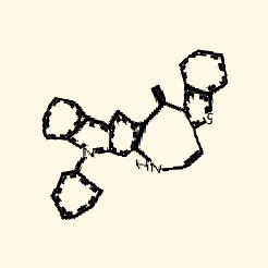 C=C1c2cc3c4ccccc4n(-c4ccccc4)c3cc2N/C=C\c2sc3ccccc3c21